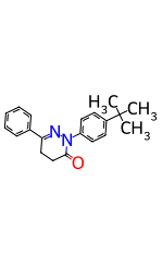 CC(C)(C)c1ccc(N2N=C(c3ccccc3)CCC2=O)cc1